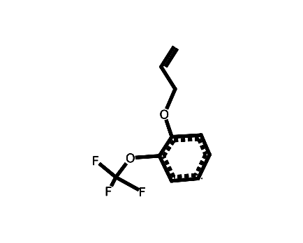 C=CCOc1cc[c]cc1OC(F)(F)F